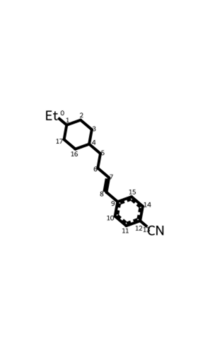 CCC1CCC(CCC=Cc2ccc(C#N)cc2)CC1